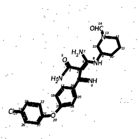 N=C(/C(C(N)=O)=C(/N)NC1CCCN(C=O)C1)c1ccc(Oc2ccc(Cl)cc2)cc1